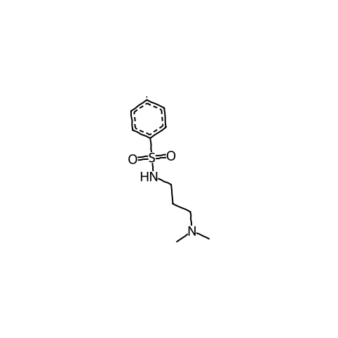 CN(C)CCCNS(=O)(=O)c1cc[c]cc1